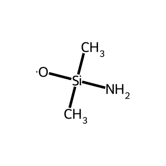 C[Si](C)(N)[O]